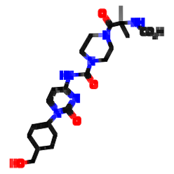 CC(C)(NC(=O)O)C(=O)N1CCN(C(=O)Nc2ccn(C3=CCC(CO)CC3)c(=O)n2)CC1